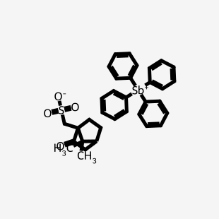 CC1(C)C2CCC1(CS(=O)(=O)[O-])C(=O)C2.c1cc[c]([Sb+]([c]2ccccc2)([c]2ccccc2)[c]2ccccc2)cc1